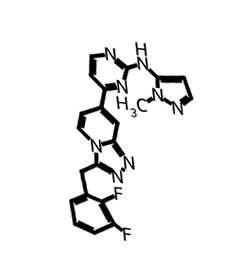 Cn1nccc1Nc1nccc(-c2ccn3c(Cc4cccc(F)c4F)nnc3c2)n1